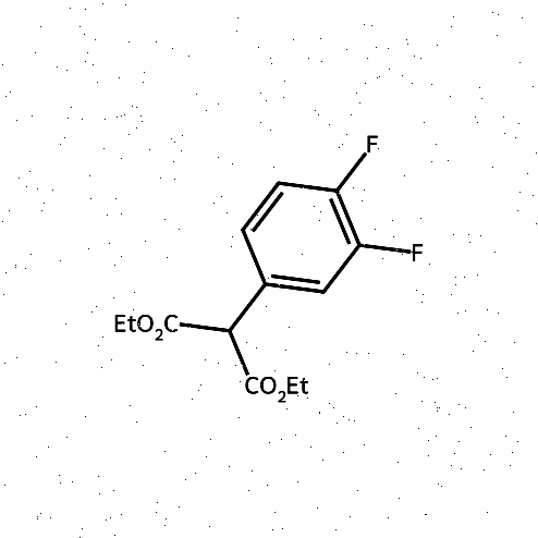 CCOC(=O)C(C(=O)OCC)c1ccc(F)c(F)c1